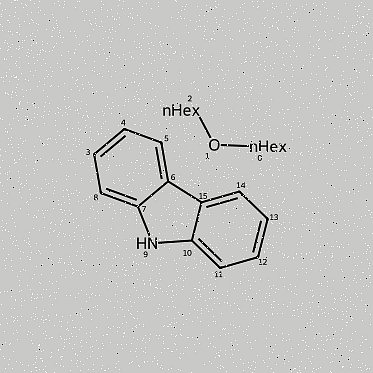 CCCCCCOCCCCCC.c1ccc2c(c1)[nH]c1ccccc12